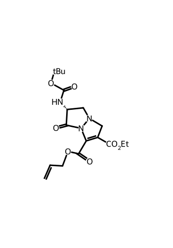 C=CCOC(=O)C1=C(C(=O)OCC)CN2C[C@@H](NC(=O)OC(C)(C)C)C(=O)N12